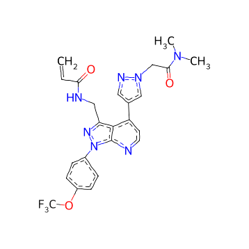 C=CC(=O)NCc1nn(-c2ccc(OC(F)(F)F)cc2)c2nccc(-c3cnn(CC(=O)N(C)C)c3)c12